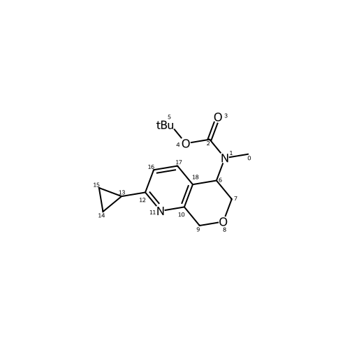 CN(C(=O)OC(C)(C)C)C1COCc2nc(C3CC3)ccc21